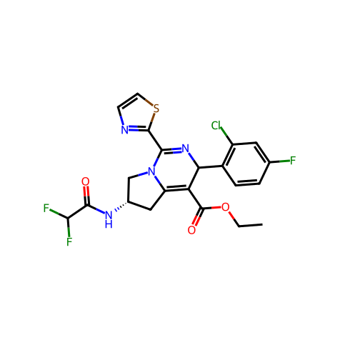 CCOC(=O)C1=C2C[C@H](NC(=O)C(F)F)CN2C(c2nccs2)=NC1c1ccc(F)cc1Cl